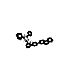 c1ccc(-c2nc(-c3ccccc3)nc(-c3cccc4c3oc3cc(-c5ccc6c(ccc7ccccc76)c5)ccc34)n2)cc1